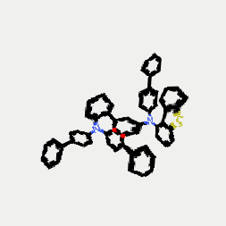 c1ccc(-c2ccc(N(c3ccc(-c4ccccc4)cc3)c3ccccc3-c3cccc(N(c4ccc(-c5ccccc5)cc4)c4cccc5sc6ccccc6c45)c3)cc2)cc1